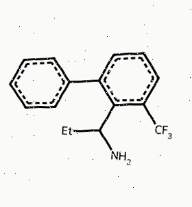 CCC(N)c1c(-c2ccccc2)cccc1C(F)(F)F